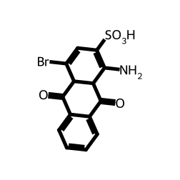 NC1=C(S(=O)(=O)O)C=C(Br)C2C(=O)c3ccccc3C(=O)C12